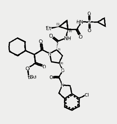 CC[C@H]1C[C@]1(NC(=O)[C@@H]1C[C@@H](OC(=O)N2Cc3cccc(Cl)c3C2)CN1C(=O)C(C(=O)OC(C)(C)C)C1CCCCC1)C(=O)NS(=O)(=O)C1CC1